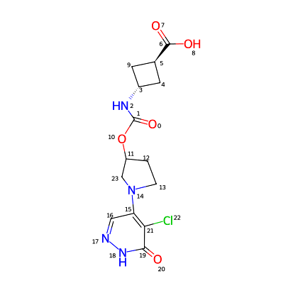 O=C(N[C@H]1C[C@H](C(=O)O)C1)OC1CCN(c2cn[nH]c(=O)c2Cl)C1